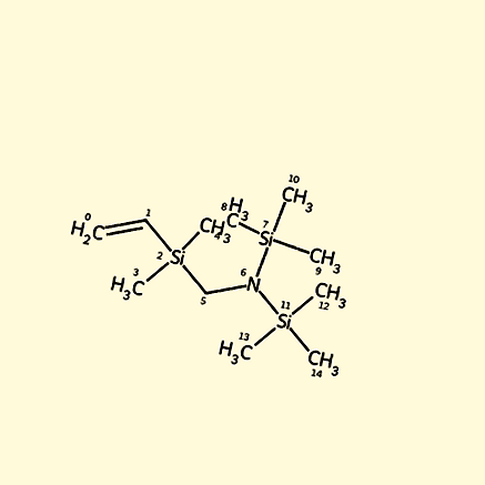 C=C[Si](C)(C)CN([Si](C)(C)C)[Si](C)(C)C